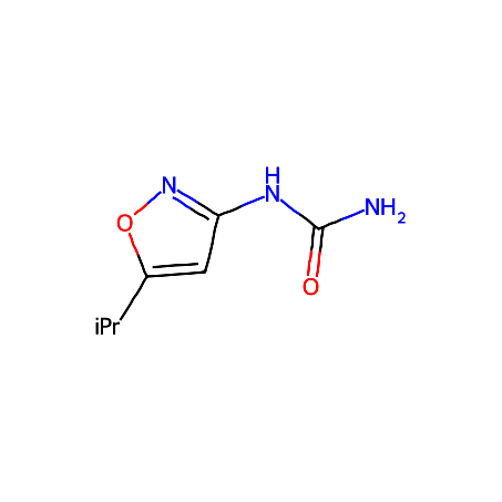 CC(C)c1cc(NC(N)=O)no1